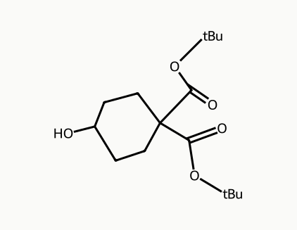 CC(C)(C)OC(=O)C1(C(=O)OC(C)(C)C)CCC(O)CC1